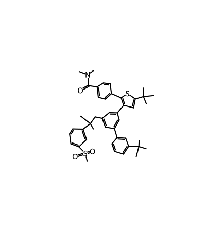 CN(C)C(=O)c1ccc(-c2sc(C(C)(C)C)cc2-c2cc(CC(C)(C)c3cccc(S(C)(=O)=O)c3)cc(-c3cccc(C(C)(C)C)c3)c2)cc1